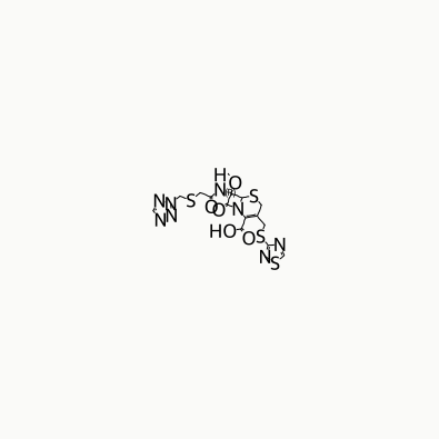 CO[C@]1(NC(=O)CSCn2ncnn2)C(=O)N2C(C(=O)O)=C(CSc3ncsn3)CSC21